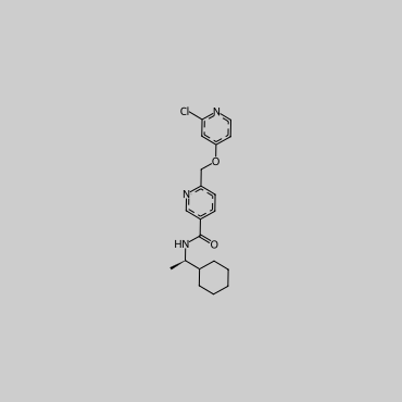 C[C@@H](NC(=O)c1ccc(COc2ccnc(Cl)c2)nc1)C1CCCCC1